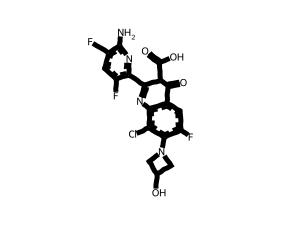 Nc1nc(C2=Nc3c(cc(F)c(N4CC(O)C4)c3Cl)C(=O)C2C(=O)O)c(F)cc1F